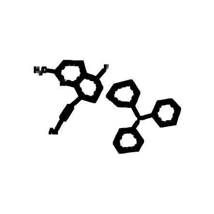 Cc1ccc2c(F)ccc(C#[C][Au])c2n1.c1ccc(P(c2ccccc2)c2ccccc2)cc1